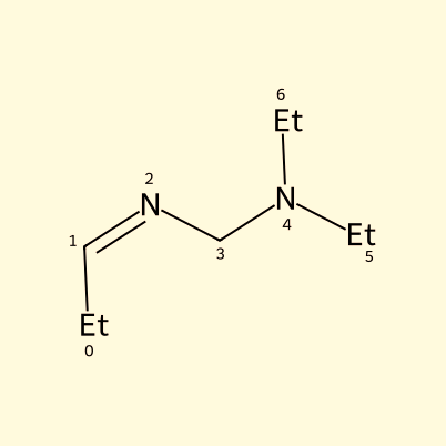 CC/C=N\CN(CC)CC